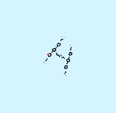 CN(C)CCCOc1ccc2nc(-c3ccc(-c4nc5ccc(OCCCN(C)C)cc5[nH]4)c(OCCCn4cc(CCOc5cc(-c6nc7ccc(OCCCN(C)C)cc7[nH]6)ccc5-c5nc6ccc(OCCCN(C)C)cc6[nH]5)nn4)c3)[nH]c2c1